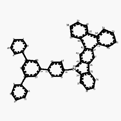 c1ccc(-c2cc(-c3ccccc3)cc(-c3ccc(-n4c5ccccc5c5cc6c7ccccc7c7ccccc7c6cc54)cc3)c2)cc1